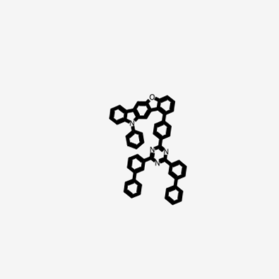 c1ccc(-c2cccc(-c3nc(-c4ccc(-c5cccc6oc7cc8c9ccccc9n(-c9ccccc9)c8cc7c56)cc4)nc(-c4cccc(-c5ccccc5)c4)n3)c2)cc1